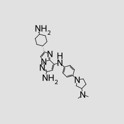 CN(C)C1CCN(c2ccc(Nc3cc(N)nn4cc([C@H]5CC[C@H](N)CC5)nc34)cc2)C1